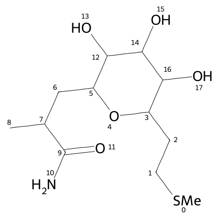 CSCCC1OC(CC(C)C(N)=O)C(O)C(O)C1O